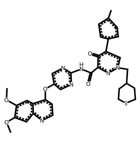 COc1cc2nccc(Oc3cnc(NC(=O)c4nn(CC5CCSCC5)cc(-c5ccc(C)cc5)c4=O)nc3)c2cc1OC